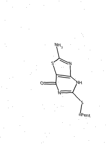 CCCCCSc1nc(=O)c2sc(N)nc2[nH]1